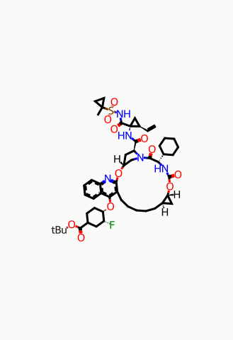 C=C[C@@H]1C[C@]1(NC(=O)[C@@H]1C[C@@H]2CN1C(=O)[C@H](C1CCCCC1)NC(=O)O[C@@H]1C[C@H]1CCCCCc1c(nc3ccccc3c1O[C@H]1CCC(C(=O)OC(C)(C)C)C[C@H]1F)O2)C(=O)NS(=O)(=O)C1(C)CC1